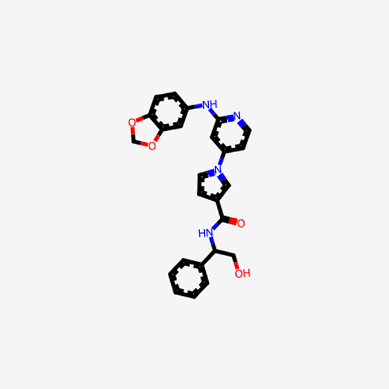 O=C(NC(CO)c1ccccc1)c1ccn(-c2ccnc(Nc3ccc4c(c3)OCO4)c2)c1